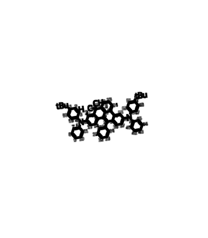 CC(C)(C)c1ccc(N(c2ccccc2)c2ccc3c(c2)C(C)(C)c2cccc4c2c-3c(-c2ccccc2)c2ccc(N(c3ccccc3)c3ccc(C(C)(C)C)cc3)cc24)cc1